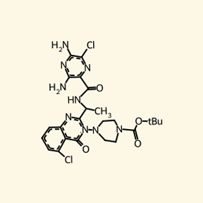 CC(NC(=O)c1nc(Cl)c(N)nc1N)c1nc2cccc(Cl)c2c(=O)n1N1CCN(C(=O)OC(C)(C)C)CC1